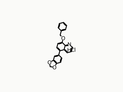 Cl.c1ccc(COc2ccc(-c3ccc4c(c3)OCO4)c3cccnc23)cc1